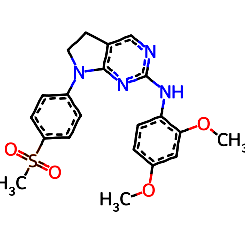 COc1ccc(Nc2ncc3c(n2)N(c2ccc(S(C)(=O)=O)cc2)CC3)c(OC)c1